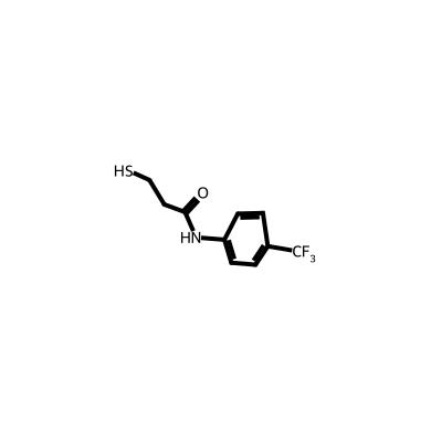 O=C(CCS)Nc1ccc(C(F)(F)F)cc1